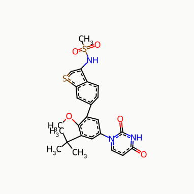 COc1c(-c2ccc3c(NS(C)(=O)=O)csc3c2)cc(-n2ccc(=O)[nH]c2=O)cc1C(C)(C)C